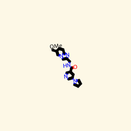 COCc1ccc2nc(CNC(=O)c3cncc(-n4cccc4)c3)cn2c1